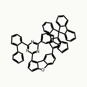 c1ccc(-c2cccc(-c3nc(-c4ccccc4-c4ccccc4)nc(-c4cccc5oc6ccc(-c7ccc8c(c7)-c7ccccc7C87c8ccccc8-c8ccccc87)cc6c45)n3)c2)cc1